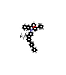 CC1(C)c2ccc(-c3ccc(-c4ccccc4)cc3)cc2-c2ccc(N(c3ccc(C4CC5CCC4C5)cc3)c3cc4ccccc4cc3C3CCCCC3)cc21